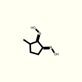 CC1CCC(=N\O)/C1=N/O